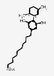 CCCCCCCCCCCCCCCCCCCCc1cc(O)c([C@@H]2C=C(C)CC[C@@H]2C)c(O)c1